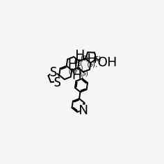 C[C@]12C[C@H](c3ccc(-c4cccnc4)cc3)[C@H]3[C@@H](CCC4=CC5(CC[C@@H]43)SCCS5)[C@@H]1CC[C@@H]2O